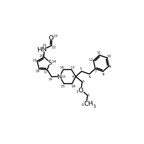 CCOCC1(CCc2ccccc2)CCN(Cc2ccc(NC=O)s2)CC1